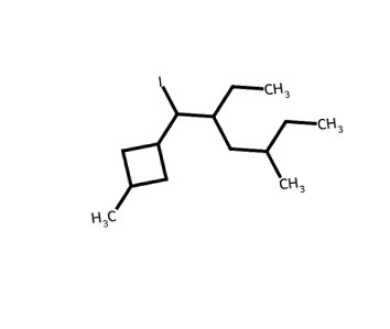 CCC(C)CC(CC)C(I)C1CC(C)C1